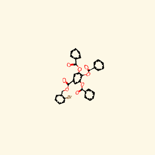 O=C(OCc1ccccc1Br)c1cc(OC(=O)c2ccccc2)c(OC(=O)c2ccccc2)c(OC(=O)c2ccccc2)c1